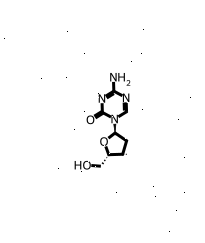 Nc1ncn([C@H]2C[CH][C@H](CO)O2)c(=O)n1